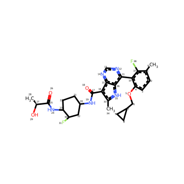 Cc1ccc(OCC2CC2)c(-c2ncnc3c(C(=O)NC4CCC(NC(=O)[C@H](C)O)C(F)C4)c(C)[nH]c23)c1F